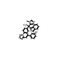 Cn1cncc1C(N)(c1ccc2c(c1)c(-c1cccc(Cl)c1)cc1nnnn12)c1occ2ccccc12